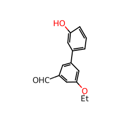 CCOc1cc(C=O)cc(-c2cccc(O)c2)c1